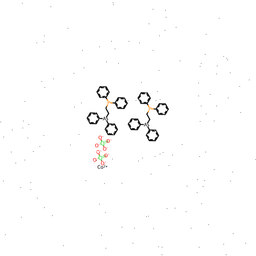 [Co+2].[O-][Cl+3]([O-])([O-])[O-].[O-][Cl+3]([O-])([O-])[O-].c1ccc(P(CC[As](c2ccccc2)c2ccccc2)c2ccccc2)cc1.c1ccc(P(CC[As](c2ccccc2)c2ccccc2)c2ccccc2)cc1